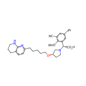 COc1c(C#N)cc(C(C)C)cc1[C@@H](C(=O)O)N1CC[C@@H](OCCCCCc2ccc3c(n2)NCCC3)C1